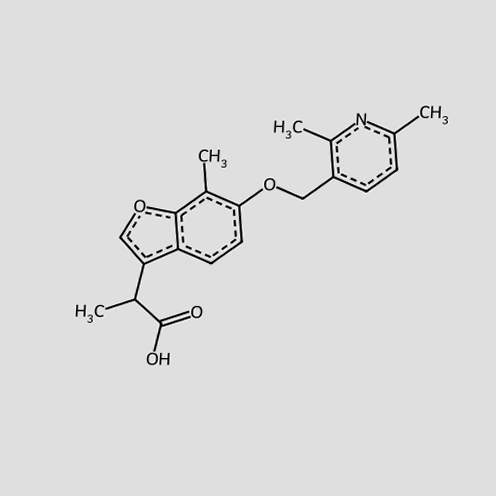 Cc1ccc(COc2ccc3c(C(C)C(=O)O)coc3c2C)c(C)n1